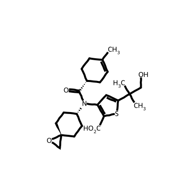 CC1=CC[C@H](C(=O)N(c2cc(C(C)(C)CO)sc2C(=O)O)[C@H]2CC[C@@]3(CC2)CO3)CC1